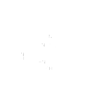 CNCCn1c(=O)n(CC2CCCCCCC2)c2cccc(C3CCNCC3)c21